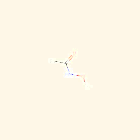 CCC(C)C(=O)NOC(C)C